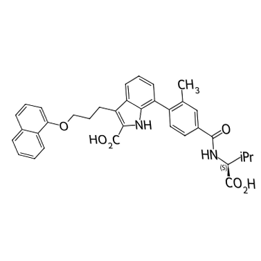 Cc1cc(C(=O)N[C@H](C(=O)O)C(C)C)ccc1-c1cccc2c(CCCOc3cccc4ccccc34)c(C(=O)O)[nH]c12